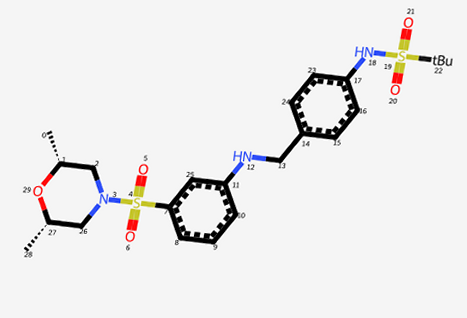 C[C@@H]1CN(S(=O)(=O)c2cccc(NCc3ccc(NS(=O)(=O)C(C)(C)C)cc3)c2)C[C@H](C)O1